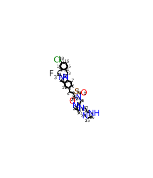 O=C1S/C(=C\c2ccc3c(cnn3Cc3ccc(Cl)cc3C(F)(F)F)c2)C(=O)N1Cc1nccn1Cc1ncc[nH]1